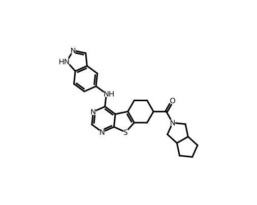 O=C(C1CCc2c(sc3ncnc(Nc4ccc5[nH]ncc5c4)c23)C1)N1CC2CCCC2C1